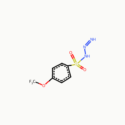 N=NNS(=O)(=O)c1ccc(OC(F)(F)F)cc1